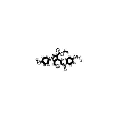 CCOC(=O)c1nn(-c2ccc(OC)cc2)c(C=O)c1CCN(C)c1ccc(N)cc1